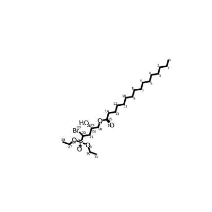 CCCCCCCCCCCCCCCC(=O)OC[C@@H](O)CC(Br)P(=O)(OCC)OCC